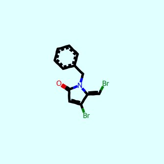 O=C1C=C(Br)/C(=C/Br)N1Cc1ccccc1